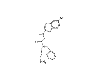 CC(=O)c1ccc2cc(N(C)CC(=O)N(CCCN)Cc3ccccc3)ccc2c1